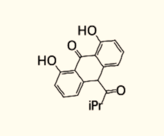 CC(C)C(=O)C1c2cccc(O)c2C(=O)c2c(O)cccc21